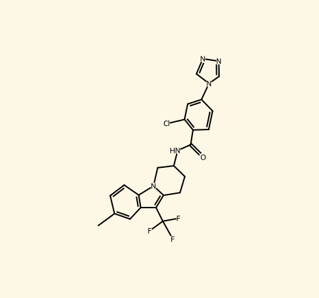 Cc1ccc2c(c1)c(C(F)(F)F)c1n2CC(NC(=O)c2ccc(-n3cnnc3)cc2Cl)CC1